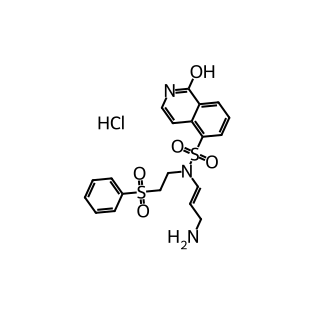 Cl.NCC=CN(CCS(=O)(=O)c1ccccc1)S(=O)(=O)c1cccc2c(O)nccc12